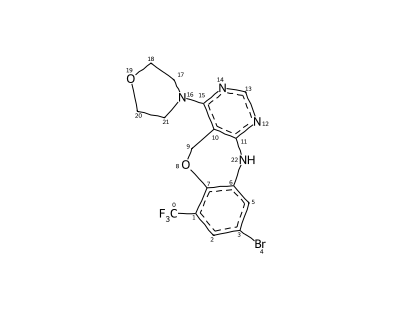 FC(F)(F)c1cc(Br)cc2c1OCc1c(ncnc1N1CCOCC1)N2